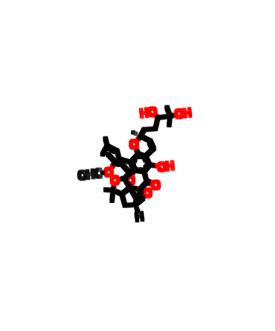 CC(C)=CCc1c2c(c(O)c3c1O[C@]14C(=C[C@@H]5CC1C(C)(C)OC4(C/C=C(/C)OC=O)C5=O)C3=O)C=C[C@](C)(CCC(O)C(C)(C)O)O2